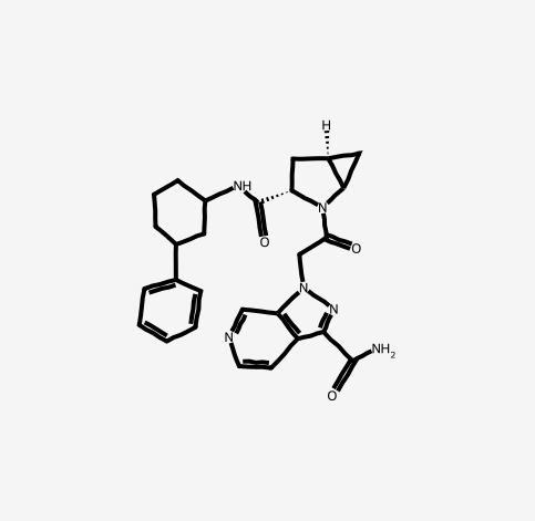 NC(=O)c1nn(CC(=O)N2C3C[C@@H]3C[C@H]2C(=O)NC2CCCC(c3ccccc3)C2)c2cnccc12